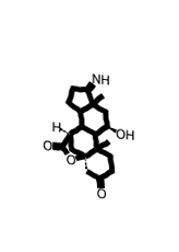 CC12C[C@@H](O)C3C(C1CCC2=N)[C@H]1C[C@]2(CC(=O)CCC32C)OC1=O